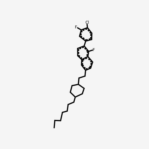 CCCCCCCC1CCC(CCc2ccc3c(F)c(-c4ccc(Cl)c(F)c4)ccc3c2)CC1